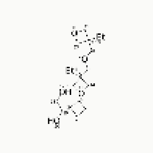 C1CCC1.CCC1(COCC2(CC)COC2)COC1.OCCO